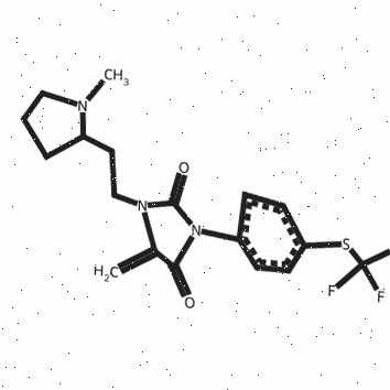 C=C1C(=O)N(c2ccc(SC(F)(F)F)cc2)C(=O)N1CCC1CCCN1C